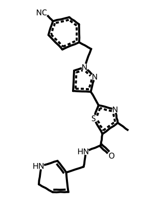 Cc1nc(-c2ccn(Cc3ccc(C#N)cc3)n2)sc1C(=O)NCC1=CNCC=C1